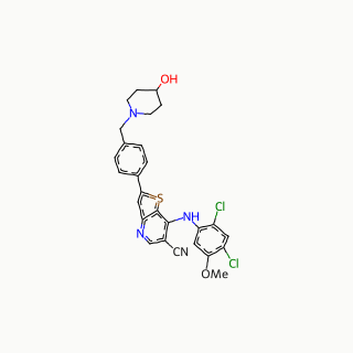 COc1cc(Nc2c(C#N)cnc3cc(-c4ccc(CN5CCC(O)CC5)cc4)sc23)c(Cl)cc1Cl